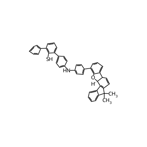 CC1(C)C2=C(c3ccccc31)[C@H]1Oc3c(-c4ccc(Nc5ccc(-c6cccc(-c7ccccc7)c6S)cc5)cc4)cccc3C1C=C2